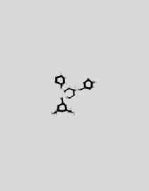 O=C(c1cc(C(F)(F)F)cc(C(F)(F)F)c1)N1CC[C@H](NCc2ccc(Cl)cc2)C[C@H]1Cc1ccccc1